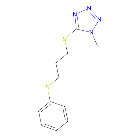 Cn1nnnc1SCCCSc1ccccc1